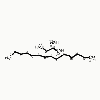 CCCCCCCCCCCCCC.OCCO.[NaH]